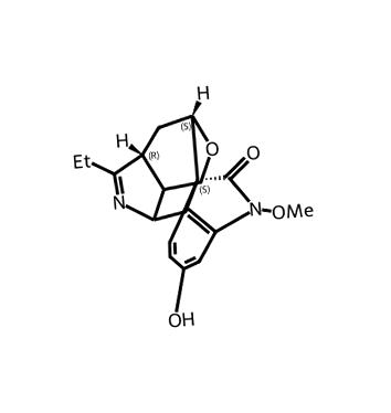 CCC1=NC2C[C@@]3(C(=O)N(OC)c4cc(O)ccc43)[C@@H]3C[C@@H]1C2CO3